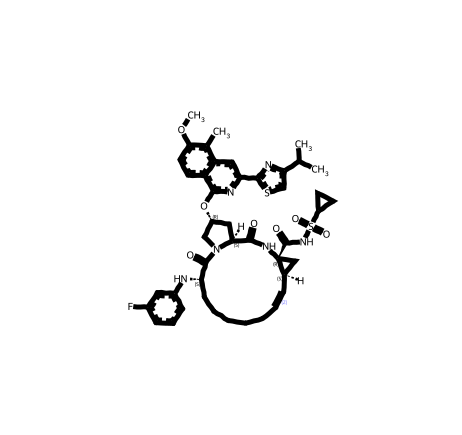 COc1ccc2c(O[C@@H]3C[C@H]4C(=O)N[C@]5(C(=O)NS(=O)(=O)C6CC6)C[C@H]5/C=C\CCCCC[C@H](Nc5cccc(F)c5)C(=O)N4C3)nc(-c3nc(C(C)C)cs3)cc2c1C